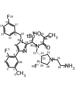 Cc1ccc(F)c(-c2cn(Cc3cccc(F)c3)c([C@H](N(C[C@@H]3CN(CCN)C[C@@H]3F)C(=O)[C@H](C)O)C(C)(C)C)n2)c1